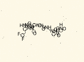 O=C(CN1CCN(c2ccc(C(=O)Nc3n[nH]c4ccc(Cc5cc(F)cc(F)c5)cc34)c(NC3CCOCC3)c2)CC1)NCCCNc1cccc2c1C(=O)N(C1CCC(=O)NC1=O)C2=O